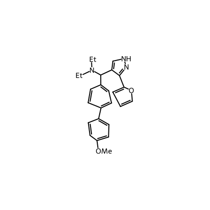 CCN(CC)C(c1ccc(-c2ccc(OC)cc2)cc1)c1c[nH]nc1-c1ccco1